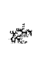 COC(=O)C1(CNC(c2ncno2)C(C)O)CCCN1C(=O)OC(C)(C)C